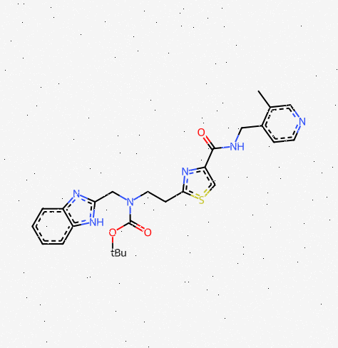 Cc1cnccc1CNC(=O)c1csc(CCN(Cc2nc3ccccc3[nH]2)C(=O)OC(C)(C)C)n1